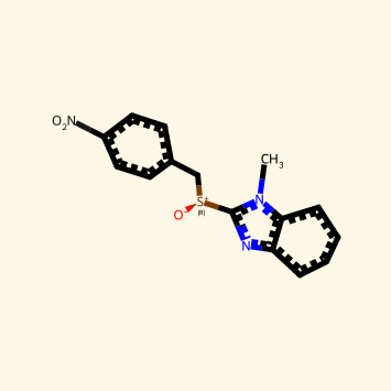 Cn1c([S@@+]([O-])Cc2ccc([N+](=O)[O-])cc2)nc2ccccc21